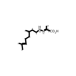 CC(C)=CCCC(C)CCNN=C(C)C(=O)O